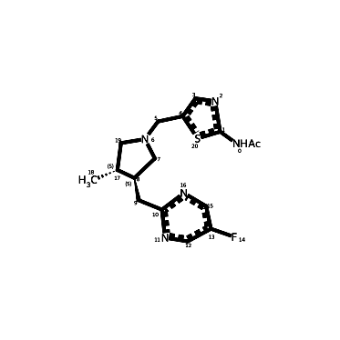 CC(=O)Nc1ncc(CN2C[C@@H](Cc3ncc(F)cn3)[C@H](C)C2)s1